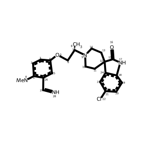 CNc1ccc(OC[C@H](C)N2CCC3(CC2)C(=O)Nc2ccc(Cl)cc23)cc1C=N